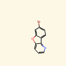 Brc1ccc2c(c1)oc1cccnc12